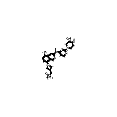 CC(C)c1ccc(N2CC(CS(C)(=O)=O)C2)c2cnc(Nc3ccnc(N4CC[C@H](F)[C@@H](O)C4)n3)cc12